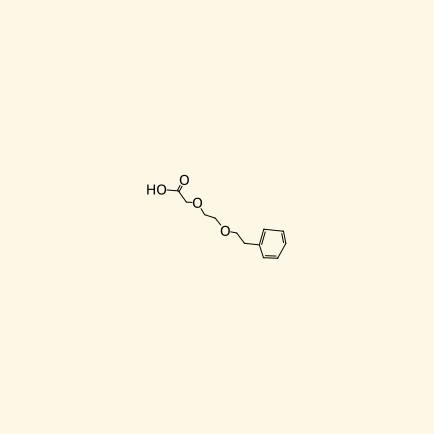 O=C(O)COCCOCCc1ccccc1